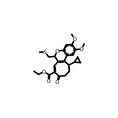 CCOC(=O)/C1=C/C2=C(c3cc(OC)c(OC)cc3OC2CSC)C(C2CC2)CCC1=O